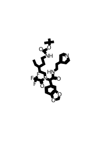 CCC(CCNC(=O)OC(C)(C)C)CCN(C(=O)C(F)(F)F)C(C(=O)NCCc1ccncc1)c1ccc2c(c1)OCO2